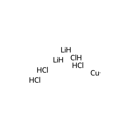 Cl.Cl.Cl.Cl.[Cu].[LiH].[LiH]